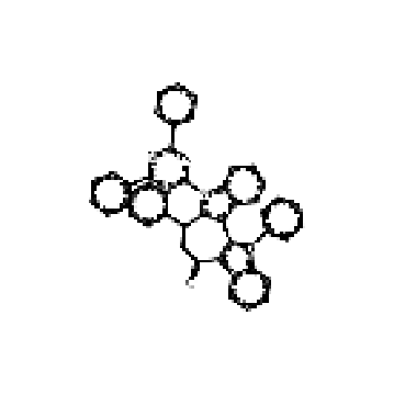 O=C1CC(c2ccccc2)c2c(c3ccccc3n2-c2nc(-c3ccccc3)nc(-c3ccccc3)n2)-c2c1c1ccccc1n2-c1ccccc1